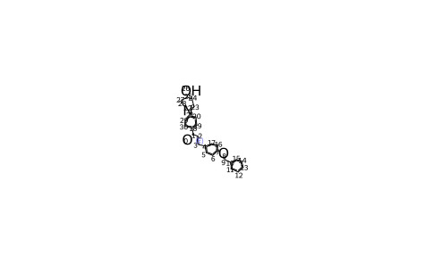 O=C(/C=C/c1ccc(OCc2ccccc2)cc1)c1ccc(N2CCC(O)CC2)cc1